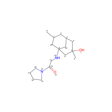 CC1CC2CC(C)(O)CC(NCC(=O)N3CCCC3)(C1)C2